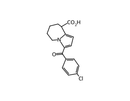 O=C(c1ccc(Cl)cc1)c1ccc2n1CCCCC2C(=O)O